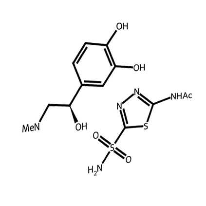 CC(=O)Nc1nnc(S(N)(=O)=O)s1.CNC[C@H](O)c1ccc(O)c(O)c1